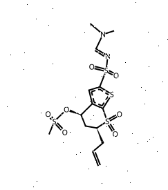 C=CC[C@H]1C[C@@H](OS(C)(=O)=O)c2cc(S(=O)(=O)N=CN(C)C)sc2S1(=O)=O